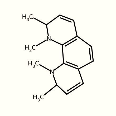 CC1C=Cc2ccc3c(c2N1C)N(C)C(C)C=C3